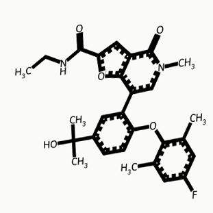 CCNC(=O)c1cc2c(=O)n(C)cc(-c3cc(C(C)(C)O)ccc3Oc3c(C)cc(F)cc3C)c2o1